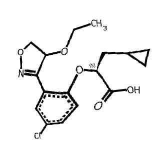 CCOC1CON=C1c1cc(Cl)ccc1O[C@@H](CC1CC1)C(=O)O